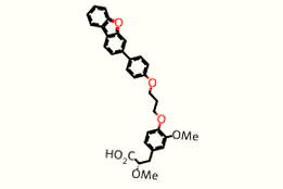 COc1cc(C[C@H](OC)C(=O)O)ccc1OCCCOc1ccc(-c2ccc3c(c2)oc2ccccc23)cc1